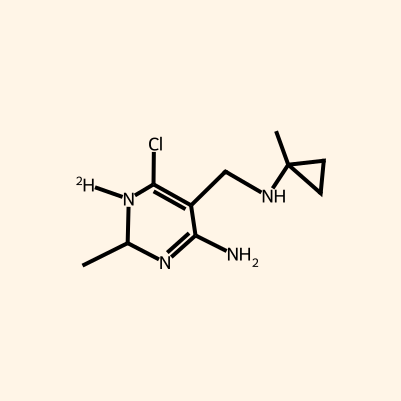 [2H]N1C(Cl)=C(CNC2(C)CC2)C(N)=NC1C